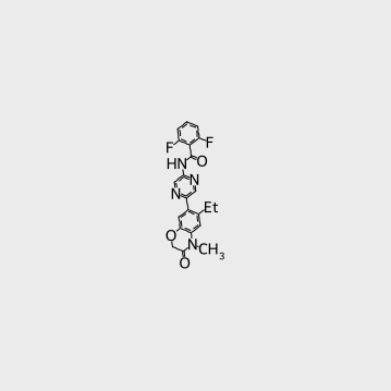 CCc1cc2c(cc1-c1cnc(NC(=O)c3c(F)cccc3F)cn1)OCC(=O)N2C